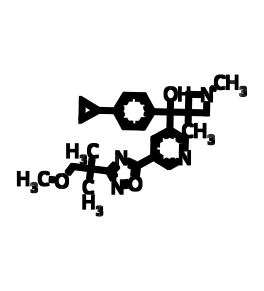 COCC(C)(C)c1noc(-c2cncc(C(O)(c3ccc(C4CC4)cc3)C3(C)CN(C)C3)c2)n1